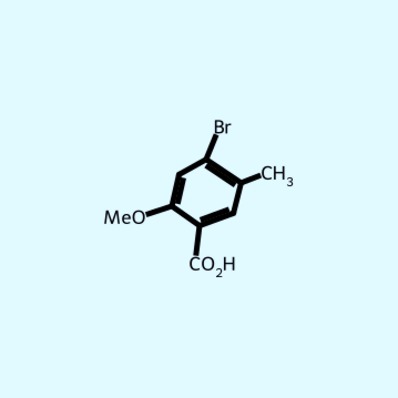 COc1cc(Br)c(C)cc1C(=O)O